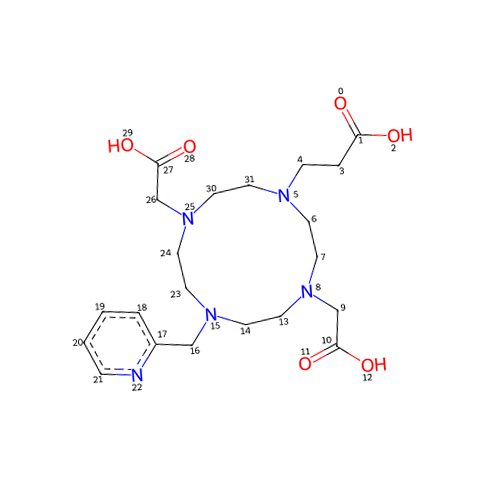 O=C(O)CCN1CCN(CC(=O)O)CCN(Cc2ccccn2)CCN(CC(=O)O)CC1